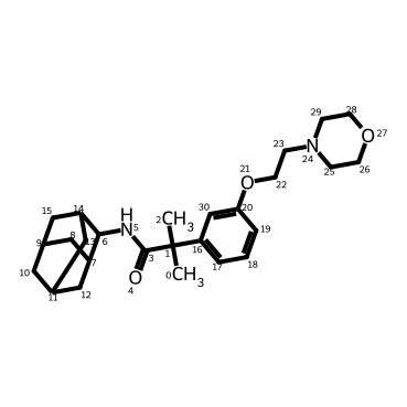 CC(C)(C(=O)NC1C2CC3CC(C2)CC1C3)c1cccc(OCCN2CCOCC2)c1